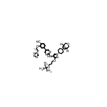 BC(B)(B)OCCCOc1nn([C@H]2CC[C@H](N3[C@@H]4CC[C@H]3COC4)CC2)cc1Nc1ncc(-c2ccc(C#N)c(O[C@@H](C)Cn3cnnn3)c2)cn1